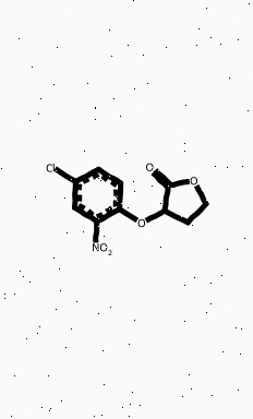 O=C1OCCC1Oc1ccc(Cl)cc1[N+](=O)[O-]